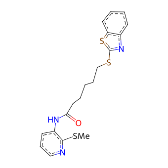 CSc1ncccc1NC(=O)CCCCCSc1nc2ccccc2s1